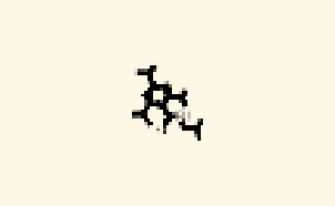 CC(C)CPC(=O)c1c(C(C)C)cc(C(C)C)cc1C(C)C